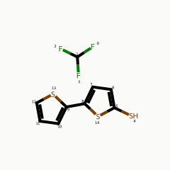 FC(F)F.Sc1ccc(-c2cccs2)s1